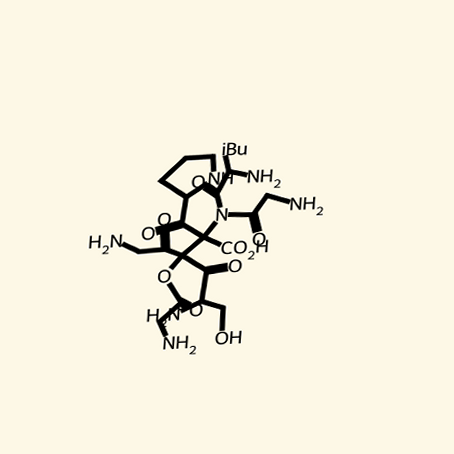 CCC(C)C(N)C(=O)N(C(=O)CN)C(C(=O)O)(C(=O)C1CCCN1)C(OC(=O)CN)(C(=O)CN)C(=O)C(N)CO